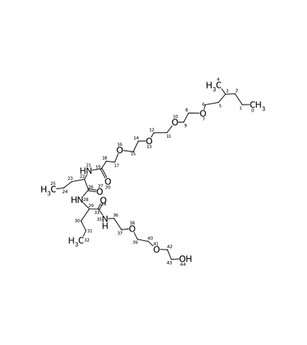 CCCC(C)CCOCCOCCOCCOCCC(=O)NC(CCC)C(=O)NC(CCC)C(=O)NCCOCCOCCO